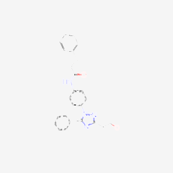 O=CCc1nc(-c2ccccc2F)n(-c2ccc(NC(=O)CSC3=CCCC=C3)cc2)n1